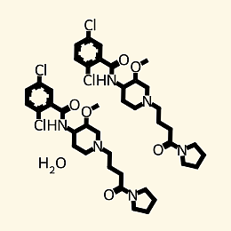 COC1CN(CCCC(=O)N2CCCC2)CCC1NC(=O)c1cc(Cl)ccc1Cl.COC1CN(CCCC(=O)N2CCCC2)CCC1NC(=O)c1cc(Cl)ccc1Cl.O